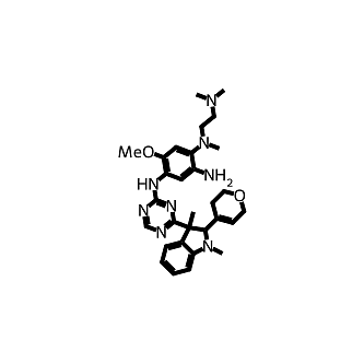 COc1cc(N(C)CCN(C)C)c(N)cc1Nc1ncnc(C2(C)c3ccccc3N(C)C2C2=CCOCC2)n1